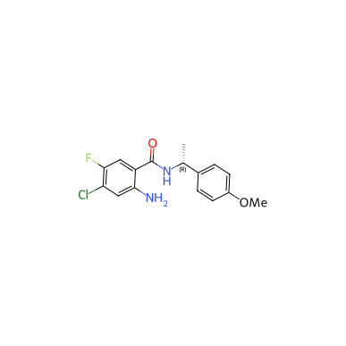 COc1ccc([C@@H](C)NC(=O)c2cc(F)c(Cl)cc2N)cc1